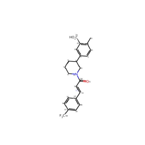 Cc1ccc(C2CCCN(C(=O)/C=C/c3ccc(C(F)(F)F)cc3)C2)cc1C(=O)O